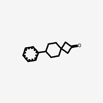 O=C1CC2(CCC(c3ccccc3)CC2)C1